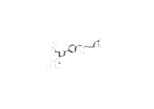 Cc1cc(CCNCc2ccc(-c3cc(NC(N)=O)c(C(N)=O)s3)cc2)on1